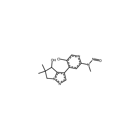 CN(N=O)c1cc(-c2cnn3c2C(O)C(C)(C)C3)c(Cl)cn1